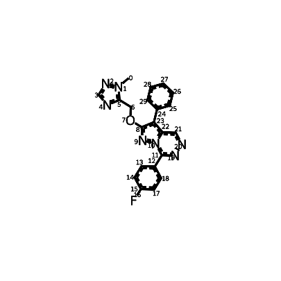 Cn1ncnc1COc1nn2c(-c3ccc(F)cc3)nncc2c1-c1ccccc1